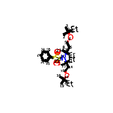 CCC(C)(C)OCCC(C)(CC)N(C(C)(CC)CCOC(C)(C)CC)S(=O)(=O)c1ccccc1